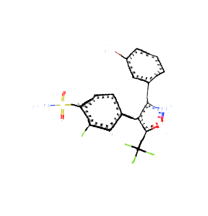 NS(=O)(=O)c1ccc(-c2c(-c3cccc(Br)c3)noc2C(F)(F)F)cc1F